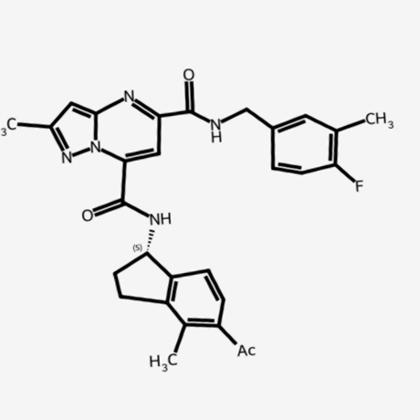 CC(=O)c1ccc2c(c1C)CC[C@@H]2NC(=O)c1cc(C(=O)NCc2ccc(F)c(C)c2)nc2cc(C)nn12